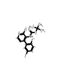 CC(C)(C)OC(=O)Nc1c(-c2cc(F)ccc2F)ccnc1Cl